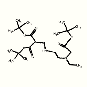 CCN(CCNCC(C(=O)OC(C)(C)C)C(=O)OC(C)(C)C)CC(=O)OC(C)(C)C